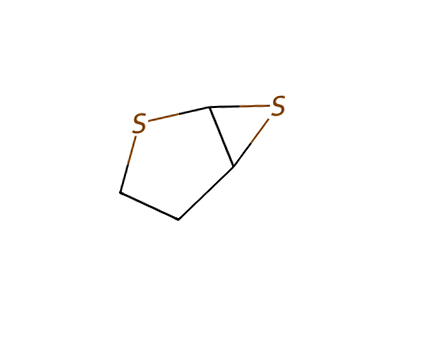 C1CC2SC2S1